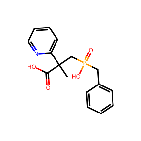 CC(CP(=O)(O)Cc1ccccc1)(C(=O)O)c1ccccn1